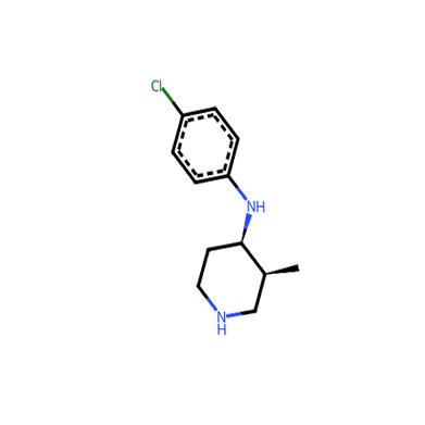 C[C@H]1CNCC[C@H]1Nc1ccc(Cl)cc1